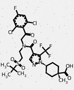 CC(C)(C)S(=O)(=O)CCN(CC(=O)c1c(Cl)cc(F)cc1Cl)C(=O)c1cnn([C@H]2CC[C@](C)(C(=O)O)CC2)c1C(F)(F)F